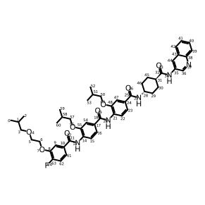 CC(C)COCCOc1cc(C(=O)Nc2ccc(C(=O)Nc3ccc(C(=O)N[C@H]4CC[C@H](C(=O)Nc5cnc6ccccc6c5)CC4)cc3OCC(C)C)cc2OCC(C)C)ccc1F